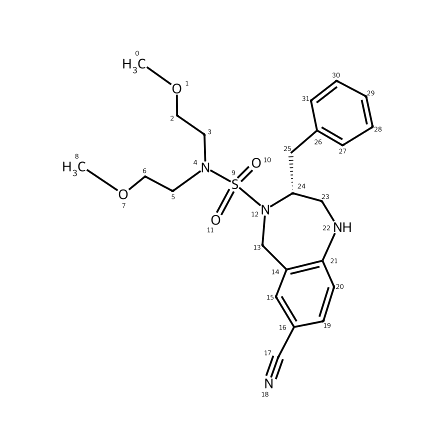 COCCN(CCOC)S(=O)(=O)N1Cc2cc(C#N)ccc2NC[C@H]1Cc1ccccc1